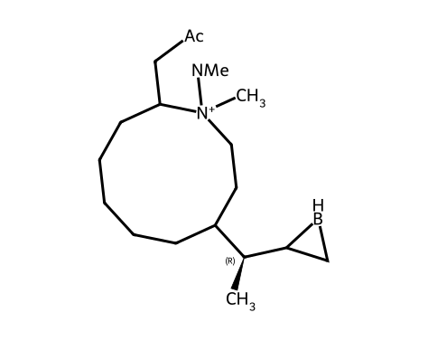 CN[N+]1(C)CCC([C@H](C)C2BC2)CCCCCC1CC(C)=O